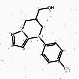 OCC1CN(c2ccc(C(F)(F)F)cc2)c2ccnn2C1